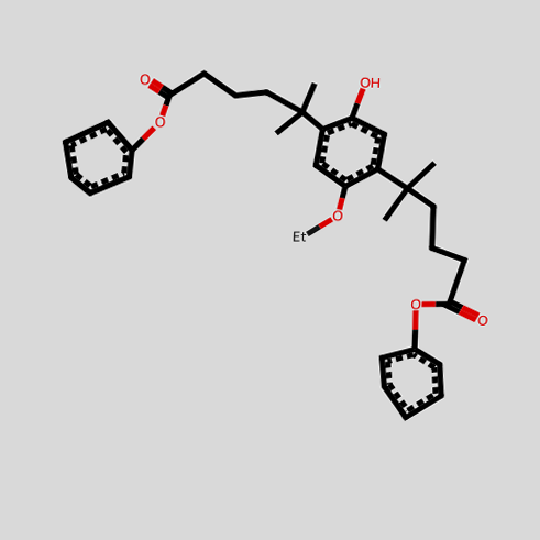 CCOc1cc(C(C)(C)CCCC(=O)Oc2ccccc2)c(O)cc1C(C)(C)CCCC(=O)Oc1ccccc1